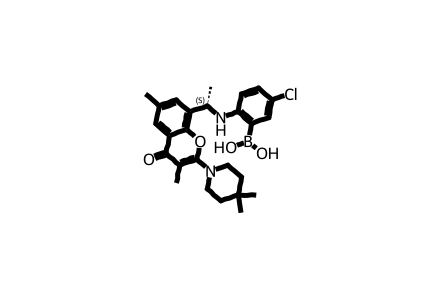 Cc1cc([C@H](C)Nc2ccc(Cl)cc2B(O)O)c2oc(N3CCC(C)(C)CC3)c(C)c(=O)c2c1